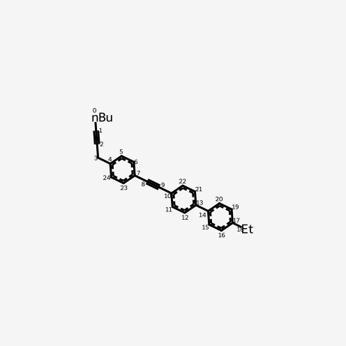 CCCCC#CCc1ccc(C#Cc2ccc(-c3ccc(CC)cc3)cc2)cc1